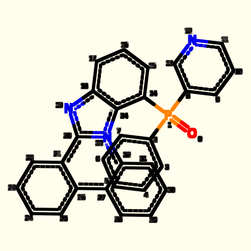 O=P(c1ccccc1)(c1cccnc1)c1cccc2nc3c4ccccc4c4ccccc4n3c12